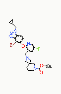 CC(C)(C)OC(=O)N1CCCC2(CN(Cc3cc(F)cnc3Oc3ccc4c(nnn4CC4CC4)c3Br)C2)C1